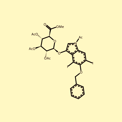 COC(=O)[C@H]1O[C@@H](Oc2cn(C(C)=O)c3cc(I)c(OCc4ccccc4)c(I)c23)[C@H](OC(C)=O)[C@@H](OC(C)=O)[C@@H]1OC(C)=O